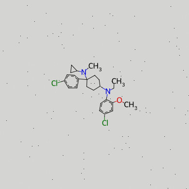 CCN(c1ccc(Cl)cc1OC)C1CCC(c2ccc(Cl)cc2)(N(C)C2CC2)CC1